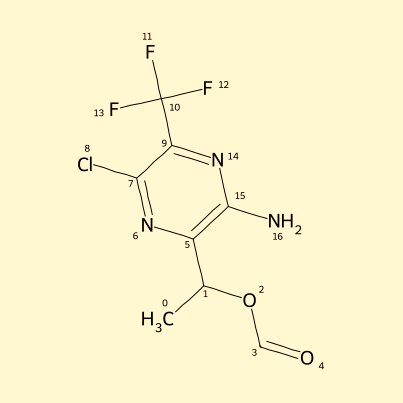 CC(OC=O)c1nc(Cl)c(C(F)(F)F)nc1N